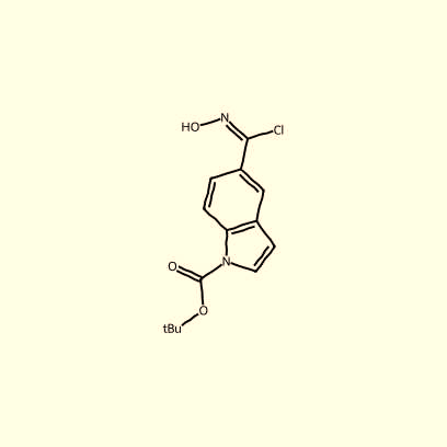 CC(C)(C)OC(=O)n1ccc2cc(/C(Cl)=N\O)ccc21